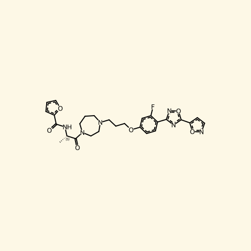 C[C@H](NC(=O)c1ccco1)C(=O)N1CCCN(CCCOc2ccc(-c3noc(-c4ccno4)n3)c(F)c2)CC1